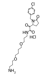 Cl.NCCCOCCCCOCCCNC(=O)C(=O)C1CCC(=O)N1Cc1ccc(Cl)cc1